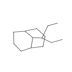 CC[C](CC)C1C2CCCC1CCC2